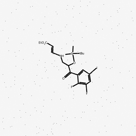 CCOC(=O)C=CNCC(O[Si](C)(C)C(C)(C)C)C(=O)c1cc(I)cc(F)c1F